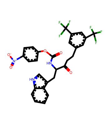 O=C(NC(Cc1c[nH]c2ccccc12)C(=O)CCc1cc(C(F)(F)F)cc(C(F)(F)F)c1)Oc1ccc([N+](=O)[O-])cc1